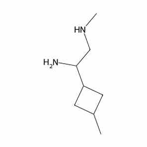 CNCC(N)C1CC(C)C1